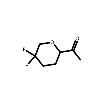 CC(=O)C1CCC(F)(F)CO1